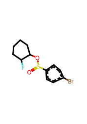 O=S(OC1CCCCC1F)c1ccc(Br)cc1